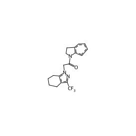 O=C(Cn1nc(C(F)(F)F)c2c1CCCC2)N1CCc2ccccc21